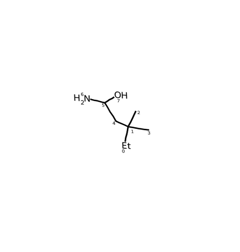 CCC(C)(C)CC(N)O